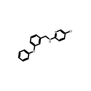 CCc1ccc(NCc2cccc(Oc3ccccc3)c2)nc1